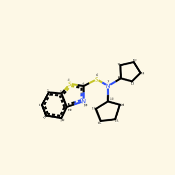 c1ccc2sc(SN(C3CCCC3)C3CCCC3)nc2c1